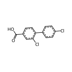 O=C(O)c1ccc(-c2ccc(Cl)cc2)c(Cl)c1